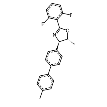 Cc1ccc(-c2ccc([C@H]3N=C(c4c(F)cccc4F)O[C@@H]3C)cc2)cc1